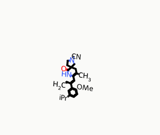 C=C/C(=C\C1=C(C)CC2(CCN(C#N)C2)C(=O)N1)c1cc(C(C)C)ccc1OC